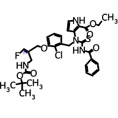 CCOC(=O)c1[nH]ccc1N(Cc1cccc(OC/C(=C/F)CNC(=O)OC(C)(C)C)c1Cl)C(=S)NC(=O)c1ccccc1